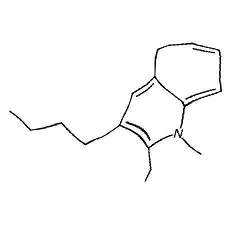 CCCCC1=C(C)N(C)C2=CC=CCC2=C1